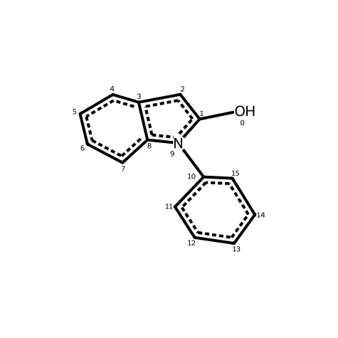 Oc1cc2ccccc2n1-c1ccccc1